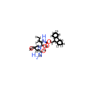 CC[C@H](C)[C@H](NC(=O)OCC1c2ccccc2-c2ccccc21)C(=O)N1C[C@@H](OC)C[C@H]1C(N)=O